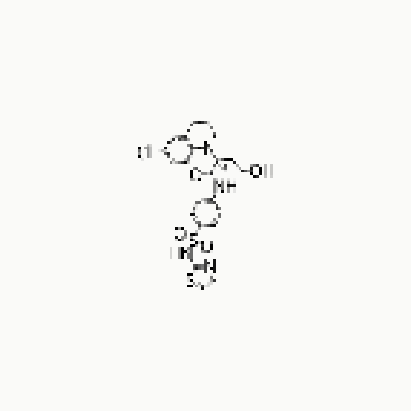 O=C(Nc1ccc(S(=O)(=O)Nc2nccs2)cc1)[C@H](CCO)N1CCCc2cc(Cl)ccc21